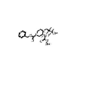 CC(C)(C)OC(=O)N[C@@H]1CN(C(=O)OCc2ccccc2)CC[C@H]1CC(C)(C)[Si](C)(C)O